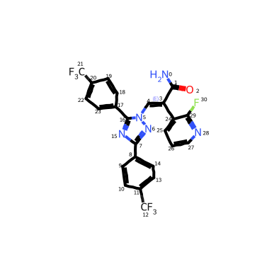 NC(=O)/C(=C/n1nc(-c2ccc(C(F)(F)F)cc2)nc1-c1ccc(C(F)(F)F)cc1)c1cccnc1F